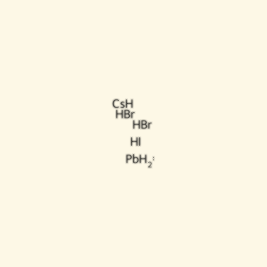 Br.Br.I.[CsH].[PbH2]